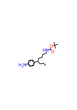 CCCC(CCCCNC(=O)OC(C)(C)C)c1ccc(N)cc1